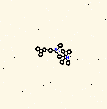 C1=C(c2ccc(-c3ccc4c5ccccc5c5ccccc5c4c3)cc2)N=C(c2ccccc2)NC1c1cccc(-c2c(-c3ccccc3)c(-c3ccccc3)nc(-c3ccccc3)c2-c2ccccc2)c1